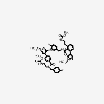 CC(C)(C)OC(=O)NCCN(Cc1ccc(F)cc1)C(=O)c1ccc(-c2cn(C(=O)O)nc2C(C)(C)C)cc1.CC(C)(C)OC(=O)NCCc1cccc(-c2cnn(C(=O)O)c2)c1C(=O)NCc1ccc(F)cc1